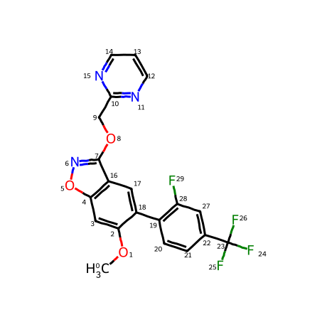 COc1cc2onc(OCc3ncccn3)c2cc1-c1ccc(C(F)(F)F)cc1F